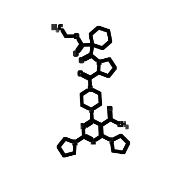 CCOC(=O)C1(C(=O)N2CCCC2C(=O)N2CCN(c3nc(N4CCCC4)nc(N4CCCC4)c3C(C)=O)CC2)CCCCC1